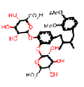 COc1ccc(CC(C)C(C)Cc2ccc(O[C@@H]3O[C@H](C(=O)O)[C@@H](O)[C@H](O)[C@H]3O)c(O[C@@H]3O[C@H](C(=O)O)[C@@H](O)[C@H](O)[C@H]3O)c2)cc1OC